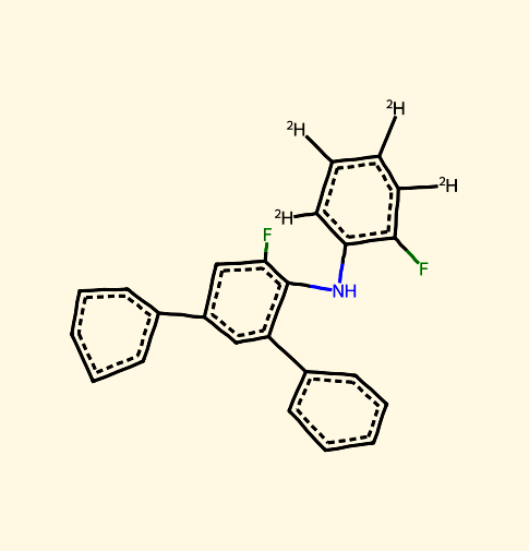 [2H]c1c([2H])c([2H])c(Nc2c(F)cc(-c3ccccc3)cc2-c2ccccc2)c(F)c1[2H]